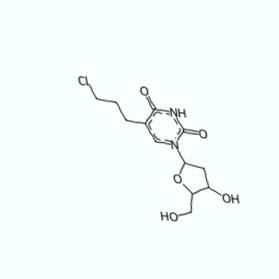 O=c1[nH]c(=O)n(C2CC(O)C(CO)O2)cc1CCCCl